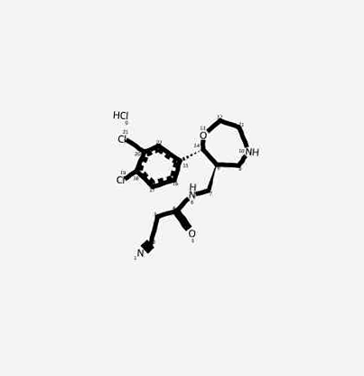 Cl.N#CCC(=O)NC[C@@H]1CNCCO[C@H]1c1ccc(Cl)c(Cl)c1